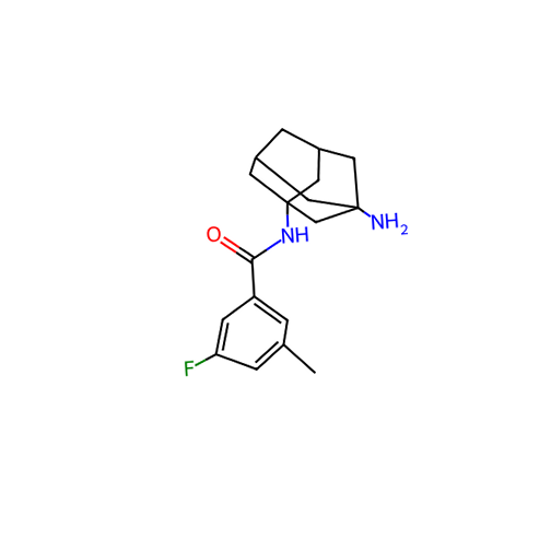 Cc1cc(F)cc(C(=O)NC23CC4CC(CC(N)(C4)C2)C3)c1